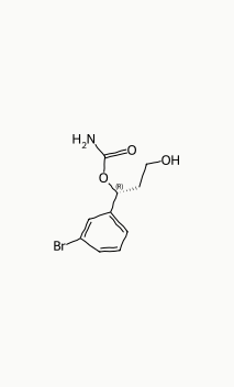 NC(=O)O[C@H](CCO)c1cccc(Br)c1